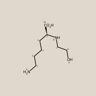 NCCCC[C@H](NCCO)C(=O)O